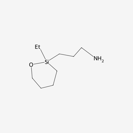 CC[Si]1(CCCN)CCCCO1